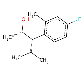 Cc1cc(F)ccc1[C@H](C(C)C)[C@H](C)O